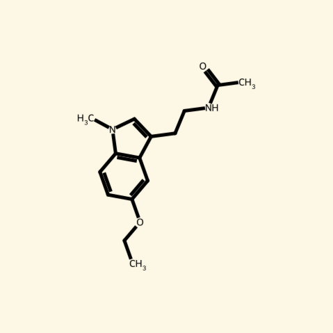 CCOc1ccc2c(c1)c(CCNC(C)=O)cn2C